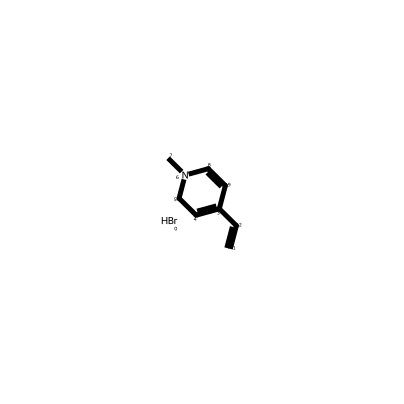 Br.C=CC1=CCN(C)C=C1